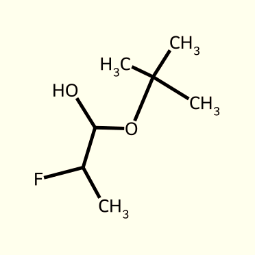 CC(F)C(O)OC(C)(C)C